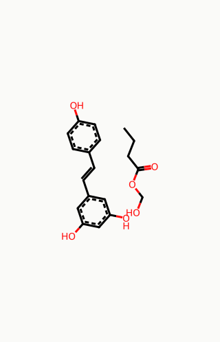 CCCC(=O)OCO.Oc1ccc(C=Cc2cc(O)cc(O)c2)cc1